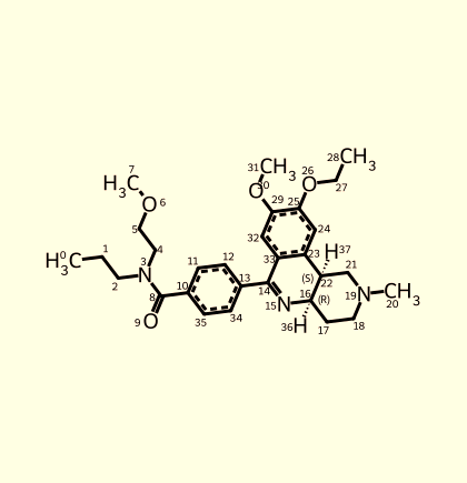 CCCN(CCOC)C(=O)c1ccc(C2=N[C@@H]3CCN(C)C[C@@H]3c3cc(OCC)c(OC)cc32)cc1